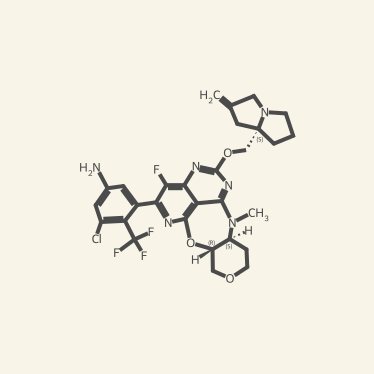 C=C1CN2CCC[C@@]2(COc2nc3c4c(nc(-c5cc(N)cc(Cl)c5C(F)(F)F)c(F)c4n2)O[C@H]2COCC[C@@H]2N3C)C1